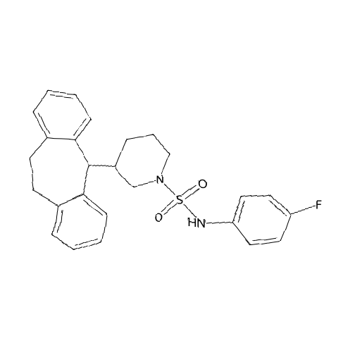 O=S(=O)(Nc1ccc(F)cc1)N1CCCC(C2c3ccccc3CCc3ccccc32)C1